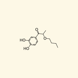 CCCCOC(C)C(=O)c1ccc(O)c(O)c1